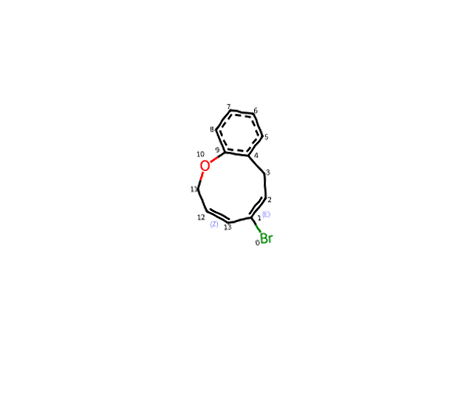 BrC1=C/Cc2ccccc2OC/C=C\1